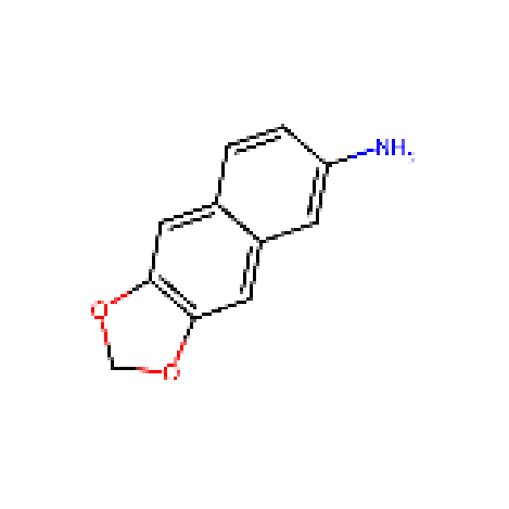 Nc1ccc2cc3c(cc2c1)OCO3